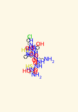 CC[C@H](NC(=O)[C@H](CCCCN)NC(=O)[C@@H](Cc1c[nH]c2ccccc12)NC(=O)[C@H](Cc1ccc(O)cc1)NC(=O)[C@H](CS)NC(=O)[C@@H](Cc1ccc(Cl)cc1)NC(C)=O)C(=O)N[C@@H](CS)C(=O)N[C@H](C(N)=O)[C@@H](C)O